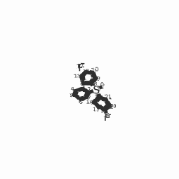 CS(c1ccccc1)(c1ccc(F)cc1)c1ccc(F)cc1